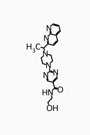 CC(c1ccc2cccnc2n1)N1CCN(c2ncc(C(=O)NCCO)cn2)CC1